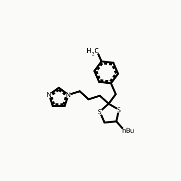 CCCCC1CSC(CCCn2ccnc2)(Cc2ccc(C)cc2)S1